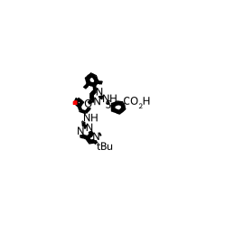 Cc1cccc(C)c1-c1cc(OCC(CC23CC(C2)C3)NCc2ncc3cc(C(C)(C)C)n(C)c3n2)nc(NSc2cccc(C(=O)O)c2)n1